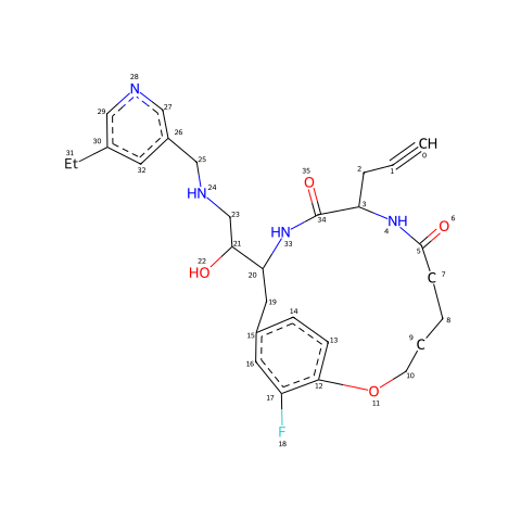 C#CCC1NC(=O)CCCCOc2ccc(cc2F)CC(C(O)CNCc2cncc(CC)c2)NC1=O